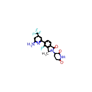 CC1c2c(ccc(-c3cc(C(F)(F)F)cc(N)n3)c2F)C(=O)N1C1CCC(=O)NC1=O